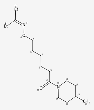 CCC(CC)=NOCCCCCC(=O)N1CCC(C)CC1